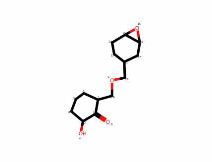 O=C1C(O)CCCC1COCC1CCC2OC2C1